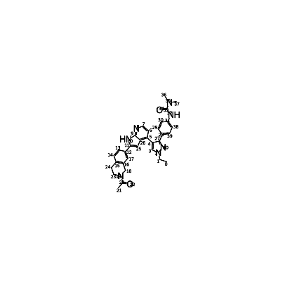 CCn1cc(-c2ccnc3[nH]c(-c4ccc5c(c4)CN(C(C)=O)CC5)cc23)c(-c2ccc(NC(=O)N(C)C)cc2)n1